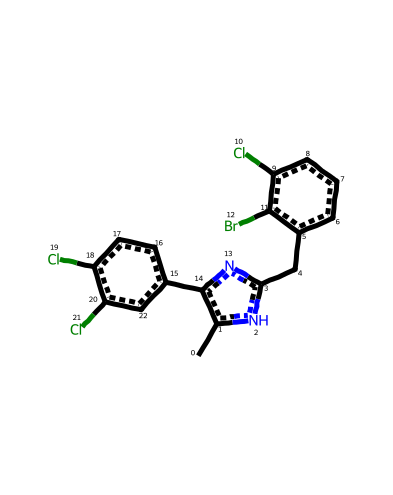 Cc1[nH]c(Cc2cccc(Cl)c2Br)nc1-c1ccc(Cl)c(Cl)c1